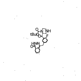 CC(C)(C)OC(=O)N1CCNCC1C(=O)c1cc(Cc2n[nH]c(=O)c3ccccc23)ccc1F